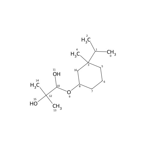 CC(C)C1(C)CCCC(OC(O)C(C)(C)O)C1